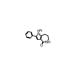 CCCn1c(-c2ccccc2)cc2c1CCCNC2=O